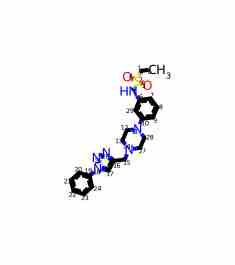 CCS(=O)(=O)Nc1cccc(N2CCN(Cc3cn(-c4ccccc4)nn3)CC2)c1